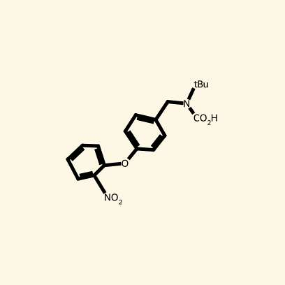 CC(C)(C)N(Cc1ccc(Oc2ccccc2[N+](=O)[O-])cc1)C(=O)O